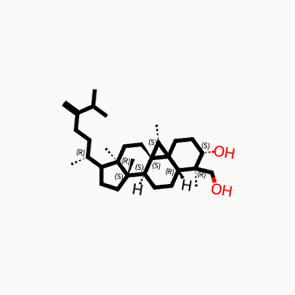 C=C(CC[C@@H](C)C1CC[C@@]2(C)[C@@H]3CC[C@@H]4C5(CC[C@H](O)[C@@]4(C)CO)[C@@H](C)[C@@]35CC[C@]12C)C(C)C